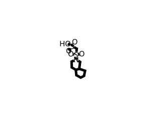 O=S(=O)(O)CS(=O)(=O)N1CCC2CCCCC2C1